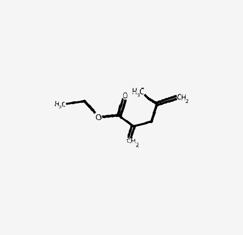 C=C(C)CC(=C)C(=O)OCC